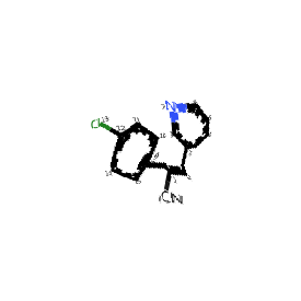 N#CC(=Cc1cccnc1)c1ccc(Cl)cc1